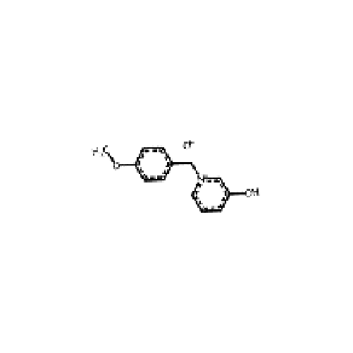 COc1ccc(C[n+]2cccc(O)c2)cc1.[Cl-]